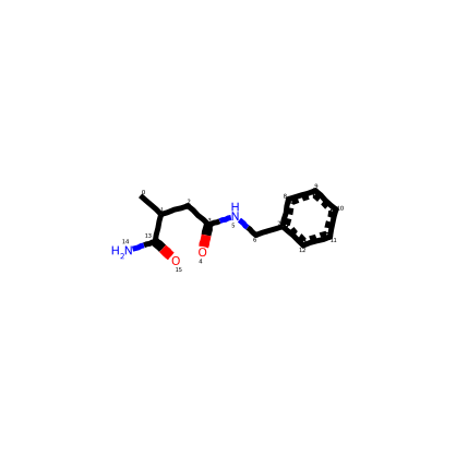 CC(CC(=O)NCc1ccccc1)C(N)=O